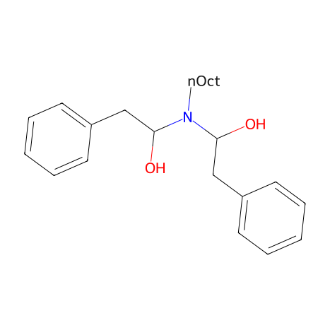 CCCCCCCCN(C(O)Cc1ccccc1)C(O)Cc1ccccc1